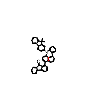 CC1(C)c2ccccc2-c2ccc(N(c3ccc(-c4cccc5c4C(=O)c4ccccc4-5)cc3)c3ccccc3-c3ccccc3)cc21